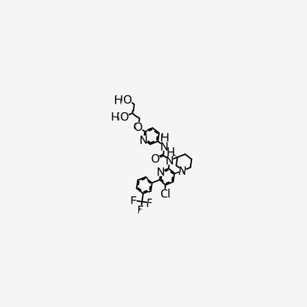 O=C(Nc1ccc(OCC(O)CO)nc1)N1c2nc(-c3cccc(C(F)(F)F)c3)c(Cl)cc2N2CCC[C@H]1C2